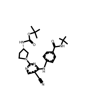 CC(C)(C)NC(=O)c1ccc(Nc2nc(N3CC[C@H](NC(=O)OC(C)(C)C)C3)ncc2C#N)cc1